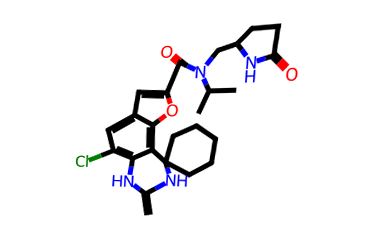 C=C1Nc2c(Cl)cc3cc(C(=O)N(CC4CCC(=O)N4)C(C)C)oc3c2C2(CCCCC2)N1